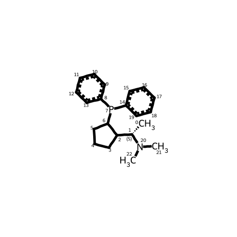 C[C@@H](C1CCCC1P(c1ccccc1)c1ccccc1)N(C)C